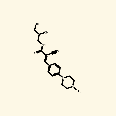 CN1CCN(c2ccc(/C=C(\C#N)C(=O)NCC(O)CO)cc2)CC1